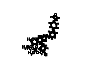 COC(=O)C(OC(C)(C)C)c1c(C)cc2nc(-c3cncc(N4CCN(C5COC5)CC4)c3)sc2c1-c1ccc(Cl)cc1